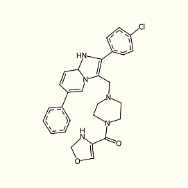 O=C(C1=COCN1)N1CCN(CC2=C(c3ccc(Cl)cc3)NC3C=CC(c4ccccc4)=CN23)CC1